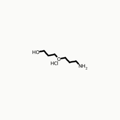 Cl.NCCCOCCCO